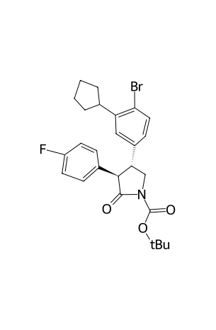 CC(C)(C)OC(=O)N1C[C@@H](c2ccc(Br)c(C3CCCC3)c2)[C@H](c2ccc(F)cc2)C1=O